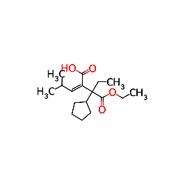 CCOC(=O)C(CC)(C(=CC(C)C)C(=O)O)C1CCCC1